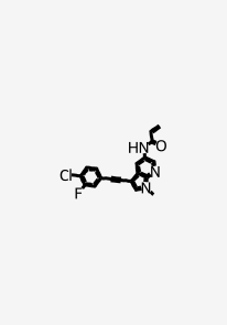 C=CC(=O)Nc1cnc2c(c1)c(C#Cc1ccc(Cl)c(F)c1)cn2C